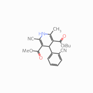 COC(=O)C1=C(C#N)NC(C)=C(C(=O)OCC(C)C)C1c1ccccc1C#N